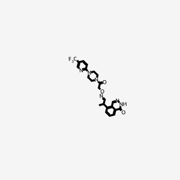 CC(/C=N/OCC(=O)N1CCN(c2ccc(C(F)(F)F)cn2)CC1)c1cccc2c(=O)[nH]ncc12